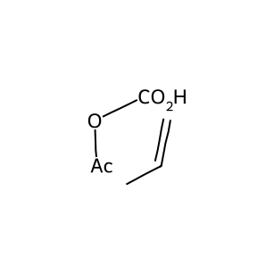 C=CC.CC(=O)OC(=O)O